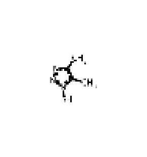 Cc1nnn(S)c1C